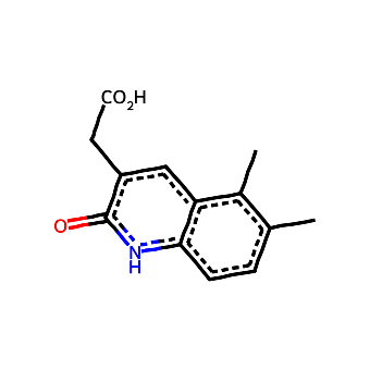 Cc1ccc2[nH]c(=O)c(CC(=O)O)cc2c1C